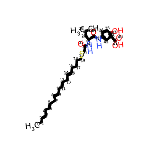 CCC=CCC=CCC=CCC=CCC=CCCCCSCC(=O)NC(CC(C)C)C(=O)Nc1ccc(O)c(C(=O)O)c1